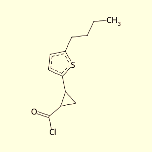 CCCCc1ccc(C2CC2C(=O)Cl)s1